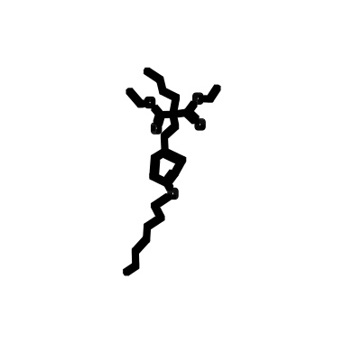 CCCCCCCOc1ccc(CCC(CCCC)(C(=O)OCC)C(=O)OCC)cc1